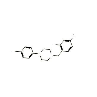 Nc1ccc(CN2CCN(c3ccc(Cl)cc3)CC2)c(C(F)(F)F)c1